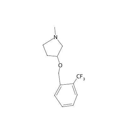 CN1CCC(OCc2ccccc2C(F)(F)F)C1